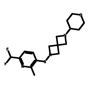 Cc1nc(C(F)F)ccc1SN1CC2(C1)CN(C1CCOCC1)C2